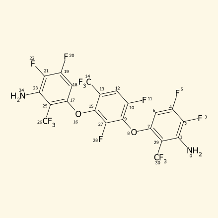 Nc1c(F)c(F)cc(Oc2c(F)cc(C(F)(F)F)c(Oc3cc(F)c(F)c(N)c3C(F)(F)F)c2F)c1C(F)(F)F